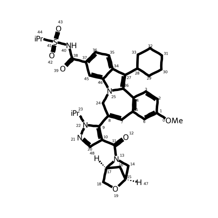 COc1ccc2c(c1)C=C(c1c(C(=O)N3C[C@@H]4C[C@H]3CO4)cnn1C(C)C)Cn1c-2c(C2CCCCC2)c2ccc(C(=O)NS(=O)(=O)C(C)C)cc21